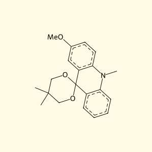 COc1ccc2c(c1)C1(OCC(C)(C)CO1)c1ccccc1N2C